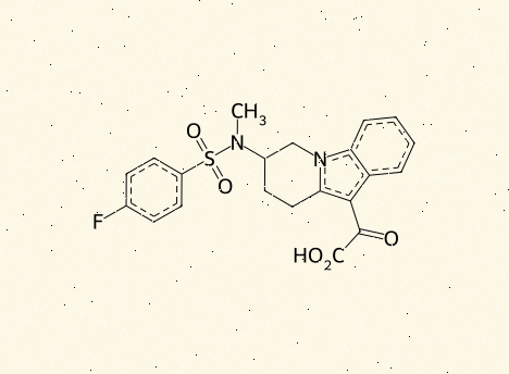 CN(C1CCc2c(C(=O)C(=O)O)c3ccccc3n2C1)S(=O)(=O)c1ccc(F)cc1